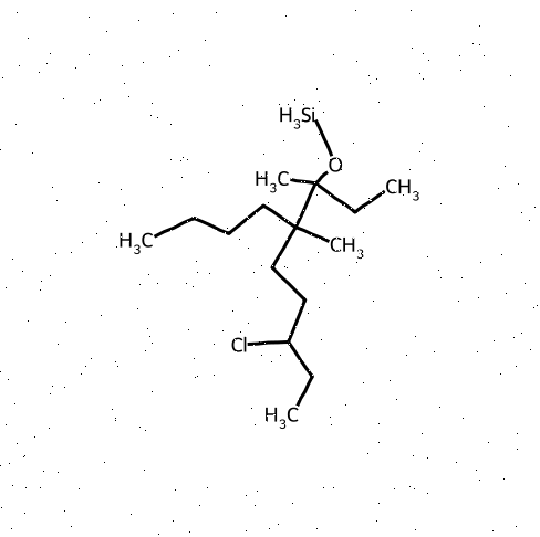 CCCCC(C)(CCC(Cl)CC)C(C)(CC)O[SiH3]